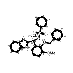 COc1cccc([C@](OS(=O)(=O)c2ccccc2)(c2nc3ccccc3[nH]2)C(Cl)(Cl)Cl)c1OCc1ccccc1